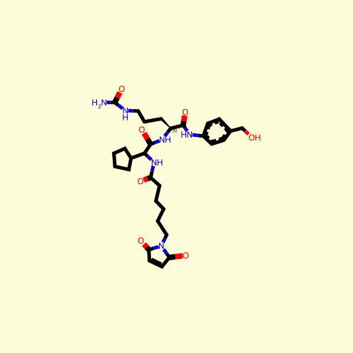 NC(=O)NCCC[C@H](NC(=O)C(NC(=O)CCCCCN1C(=O)C=CC1=O)C1CCCC1)C(=O)Nc1ccc(CO)cc1